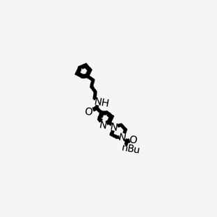 CCCCC(=O)N1CCN(c2ccc(C(=O)NCCCCc3ccccc3)cn2)CC1